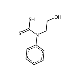 OCCN(C(=S)S)c1ccccc1